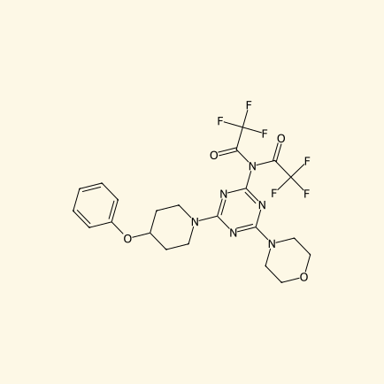 O=C(N(C(=O)C(F)(F)F)c1nc(N2CCOCC2)nc(N2CCC(Oc3ccccc3)CC2)n1)C(F)(F)F